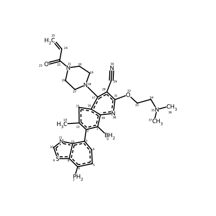 Bc1c(-c2ccc(P)c3scnc23)c(C)cc2c(N3CCN(C(=O)C=C)CC3)c(C#N)c(OCCN(C)C)nc12